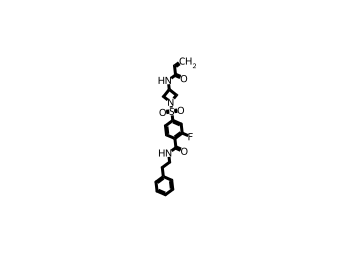 C=CC(=O)NC1CN(S(=O)(=O)c2ccc(C(=O)NCCc3ccccc3)c(F)c2)C1